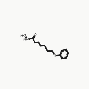 O=C(CCCCCCSc1ccccc1)NO